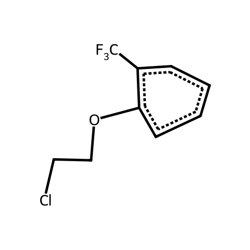 FC(F)(F)c1ccccc1OCCCl